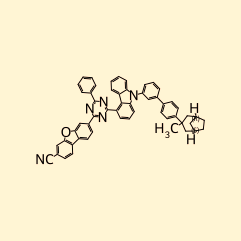 CC1(c2ccc(-c3cccc(-n4c5ccccc5c5c(-c6nc(-c7ccccc7)nc(-c7ccc8c(c7)oc7cc(C#N)ccc78)n6)cccc54)c3)cc2)C[C@@H]2CC[C@@H](C2)C1